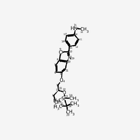 CC[C@@H](COc1ccc2oc(-c3ccc(NC)cc3)nc2c1)O[Si](C)(C)C(C)(C)C